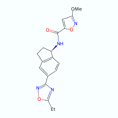 CCc1nc(-c2ccc3c(c2)CC[C@H]3NC(=O)c2cc(OC)no2)no1